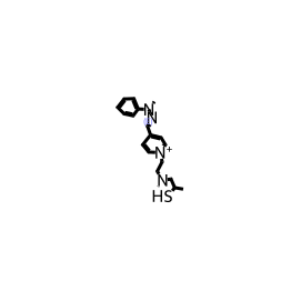 CC(S)CN(C)CC[n+]1ccc(/C=N/N(C)c2ccccc2)cc1